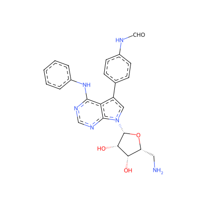 NC[C@H]1O[C@@H](n2cc(-c3ccc(NC=O)cc3)c3c(Nc4ccccc4)ncnc32)[C@@H](O)[C@H]1O